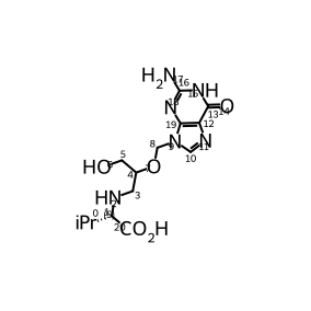 CC(C)[C@H](NCC(CO)OCn1cnc2c(=O)[nH]c(N)nc21)C(=O)O